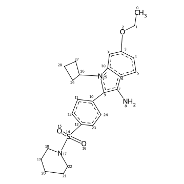 CCOc1ccc2c(N)c(-c3ccc(S(=O)(=O)N4CCCCC4)cc3)n(C3CCC3)c2c1